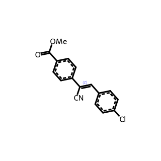 COC(=O)c1ccc(/C(C#N)=C/c2ccc(Cl)cc2)cc1